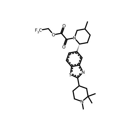 CC1CC[C@H](c2ccc3sc(C4CCN(C)C(C)(C)C4)nc3c2)N(C(=O)C(=O)OCC(F)(F)F)C1